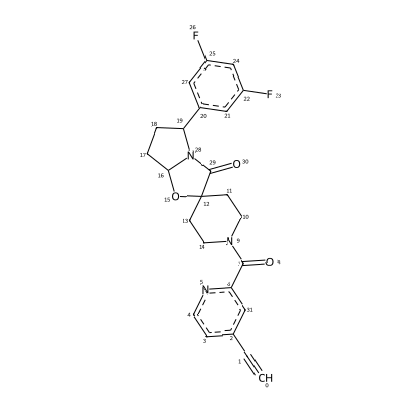 C#Cc1ccnc(C(=O)N2CCC3(CC2)OC2CCC(c4cc(F)cc(F)c4)N2C3=O)c1